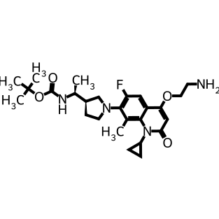 Cc1c(N2CC[C@@H]([C@H](C)NC(=O)OC(C)(C)C)C2)c(F)cc2c(OCCN)cc(=O)n(C3CC3)c12